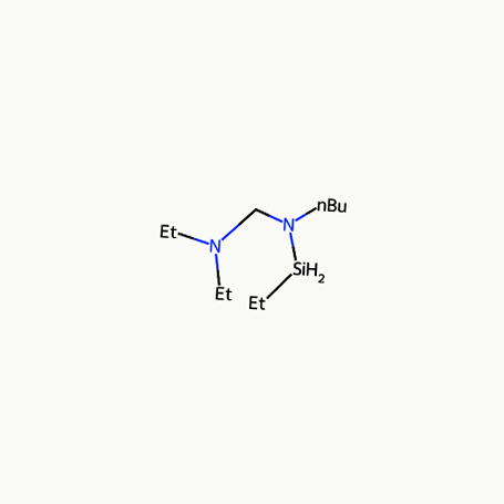 CCCCN(CN(CC)CC)[SiH2]CC